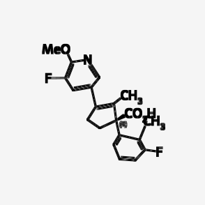 COc1ncc(C2=C(C)[C@](C(=O)O)(c3cccc(F)c3C)CC2)cc1F